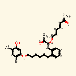 CCc1cc(C(C)=O)c(O)cc1OCCCCCCc1ccccc1CC(OCCCCCC(=O)OC)C(=O)OC